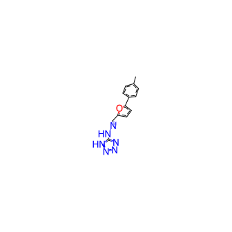 Cc1ccc(-c2ccc(/C=N/Nc3nnn[nH]3)o2)cc1